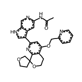 CC(=O)Nc1cc2c(-c3cc(OCc4ccccn4)c4c(n3)C3(CCOC3)OCC4)c[nH]c2cn1